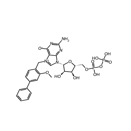 COc1cc(-c2ccccc2)ccc1C[n+]1cn([C@@H]2O[C@H](COP(=O)(O)OP(=O)(O)O)[C@@H](O)[C@H]2O)c2nc(N)nc([O-])c21